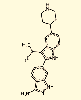 CC(C)c1c(-c2ccc3c(N)n[nH]c3c2)[nH]c2ccc(C3CCNCC3)cc12